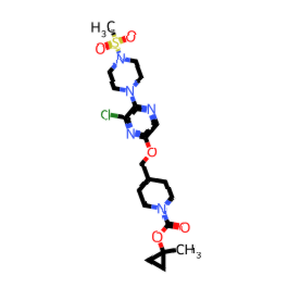 CC1(OC(=O)N2CCC(COc3cnc(N4CCN(S(C)(=O)=O)CC4)c(Cl)n3)CC2)CC1